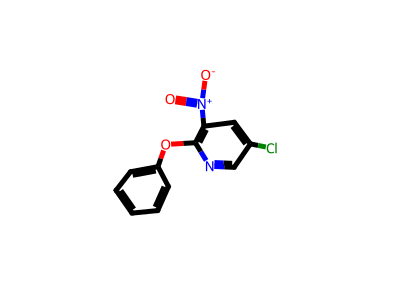 O=[N+]([O-])c1cc(Cl)cnc1Oc1ccccc1